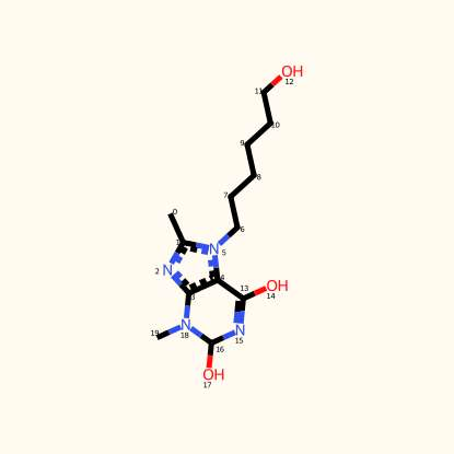 Cc1nc2c(n1CCCCCCO)C(O)=NC(O)N2C